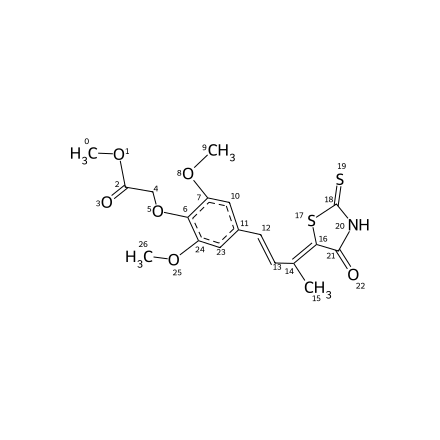 COC(=O)COc1c(OC)cc(C=CC(C)=C2SC(=S)NC2=O)cc1OC